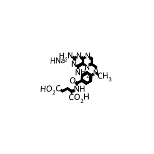 CN(Cc1cnc2nc(N)nc(N)c2n1)c1ccc(C(=O)N[C@H](CCC(=O)O)C(=O)O)cc1.[NaH]